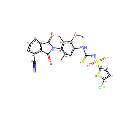 COc1c(NC(=S)NS(=O)(=O)c2ccc(Cl)s2)cc(C)c(N2C(=O)c3cccc(C#N)c3C2=O)c1C